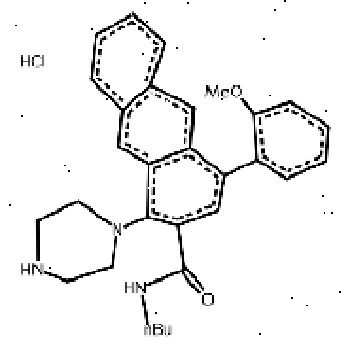 CCCCNC(=O)c1cc(-c2ccccc2OC)c2cc3ccccc3cc2c1N1CCNCC1.Cl